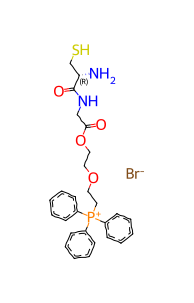 N[C@@H](CS)C(=O)NCC(=O)OCCOCC[P+](c1ccccc1)(c1ccccc1)c1ccccc1.[Br-]